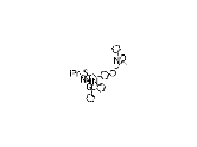 Cc1oc(-c2ccccc2)nc1CCOc1ccc(C(Cc2nnc(C(C)C)s2)Nc2ccccc2C(=O)c2ccccc2)cc1